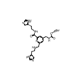 CC(C)(C)OC(=O)NCc1cc(CNCCc2cnc[nH]2)nc(C(=O)NCCc2cnc[nH]2)c1